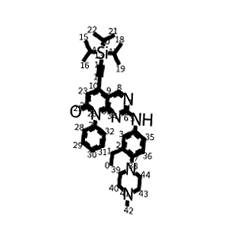 CCc1cc(Nc2ncc3c(C#C[Si](C(C)C)(C(C)C)C(C)C)cc(=O)n(-c4ccccc4)c3n2)ccc1N1CCN(C)CC1